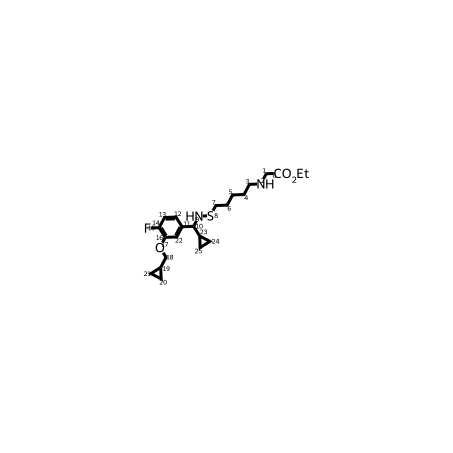 CCOC(=O)CNCCCCCSNC(c1ccc(F)c(OCC2CC2)c1)C1CC1